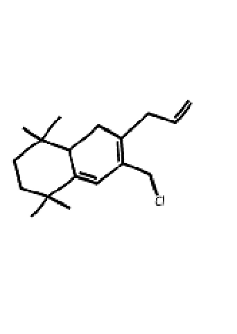 C=CCC1=C(CCl)C=C2C(C1)C(C)(C)CCC2(C)C